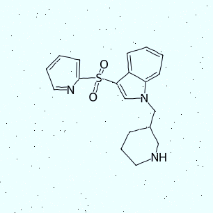 O=S(=O)(c1ccccn1)c1cn(CC2CCCNC2)c2ccccc12